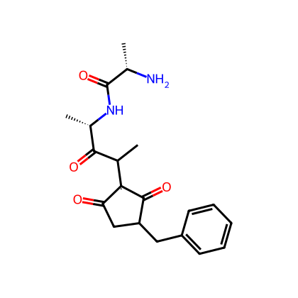 CC([C]1C(=O)CC(Cc2ccccc2)C1=O)C(=O)[C@H](C)NC(=O)[C@H](C)N